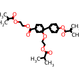 C=C(C)C(=O)OCCOC(=O)c1ccc(-c2ccc(OC(=O)C(=C)C)cc2)c(OCCOC(=O)C(C)C)c1